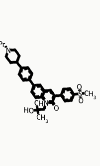 CC(C)N1CCC(c2ccc(-c3ccc4c(c3)cc(-c3ccc(S(C)(=O)=O)cc3)c(=O)n4CC(C)(C)O)cc2)CC1